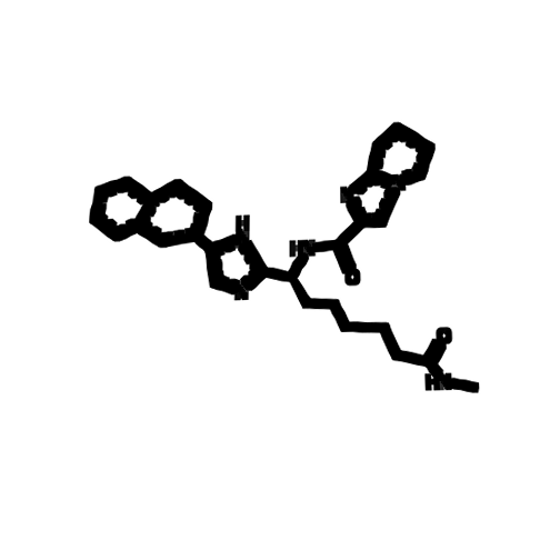 CNC(=O)CCCCC[C@H](NC(=O)c1cn2ccccc2n1)c1ncc(-c2ccc3ccccc3c2)[nH]1